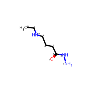 CCNCCCC(=O)NN